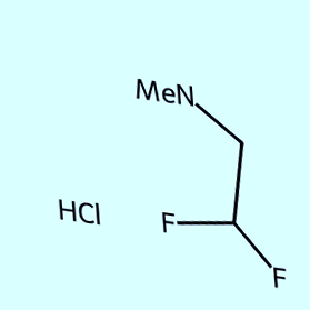 CNCC(F)F.Cl